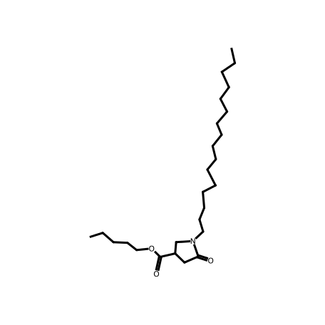 CCCCCCCCCCCCCCCCN1CC(C(=O)OCCCCC)CC1=O